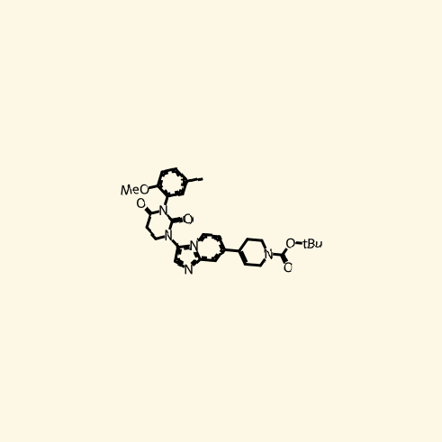 COc1ccc(C)cc1N1C(=O)CCN(c2cnc3cc(C4=CCN(C(=O)OC(C)(C)C)CC4)ccn23)C1=O